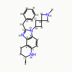 C[C@H]1CCc2c(ccc3c2nc(Cc2ccccc2)n3C2CC3(C2)CN(C)C3)N1